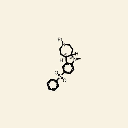 CCN1CC[C@@H]2c3cc(S(=O)(=O)c4ccccc4)ccc3N(C)[C@H]2CC1